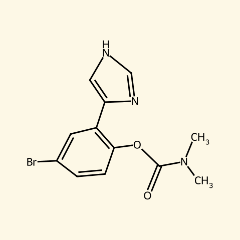 CN(C)C(=O)Oc1ccc(Br)cc1-c1c[nH]cn1